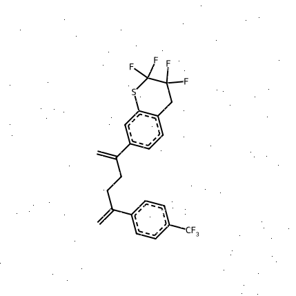 C=C(CCC(=C)c1ccc2c(c1)SC(F)(F)C(F)(F)C2)c1ccc(C(F)(F)F)cc1